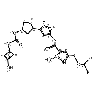 Cn1nc(COC(F)F)cc1C(=O)Nc1cc([C@H]2C[C@@H](OC(=O)NC34CC(O)(C3)C4)CO2)[nH]n1